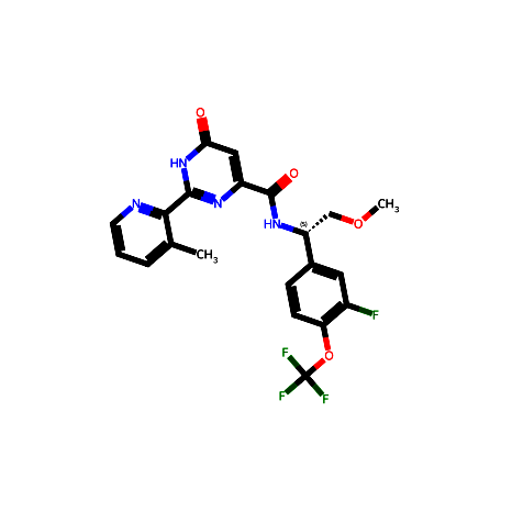 COC[C@@H](NC(=O)c1cc(=O)[nH]c(-c2ncccc2C)n1)c1ccc(OC(F)(F)F)c(F)c1